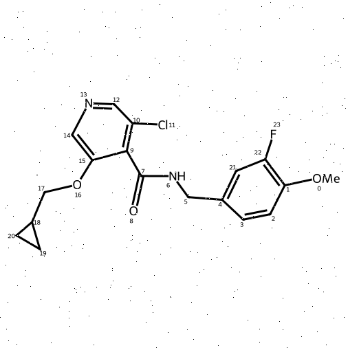 COc1ccc(CNC(=O)c2c(Cl)cncc2OCC2CC2)cc1F